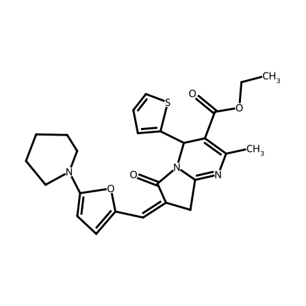 CCOC(=O)C1=C(C)N=C2C/C(=C/c3ccc(N4CCCCC4)o3)C(=O)N2C1c1cccs1